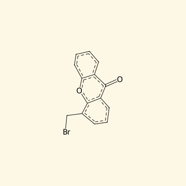 O=c1c2ccccc2oc2c(CBr)cccc12